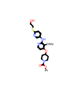 COc1c(OC2CCN(C(=O)OC(C)C)CC2)ccnc1Nc1ccc(SCCO)nc1